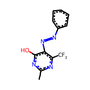 Cc1nc(O)c(N=Nc2ccccc2)c(C(F)(F)F)n1